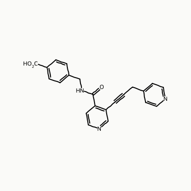 O=C(O)c1ccc(CNC(=O)c2ccncc2C#CCc2ccncc2)cc1